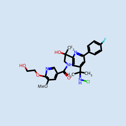 COc1cc(C(=O)NCC(O)(c2cc(C(C)(C)NCl)cc(-c3ccc(F)cc3)n2)C(F)(F)F)cnc1OCCO